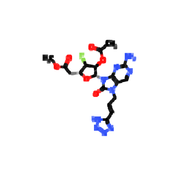 COC(=O)C[C@H]1O[C@@H](n2c(=O)n(C/C=C/c3nnn[nH]3)c3cnc(N)nc32)[C@H](OC(C)=O)[C@@H]1F